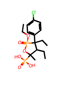 CCOP1(=O)OC(C)(P(=O)(O)O)C(CC)C1(CC)c1ccc(Cl)cc1